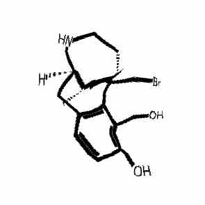 Oc1ccc2c(c1O)[C@]13CCN[C@H](C2)[C@@H]1CCCC3Br